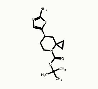 CC(C)(C)OC(=O)N1CC[C@@H](c2cnc(N)s2)CC12CC2